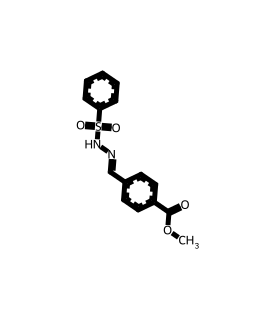 COC(=O)c1ccc(C=NNS(=O)(=O)c2ccccc2)cc1